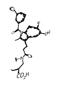 Cc1c(CCC(=O)NC[C@H](C)C(=O)O)c2cc(O)c(F)cc2n1C(=O)c1cccc(Cl)c1